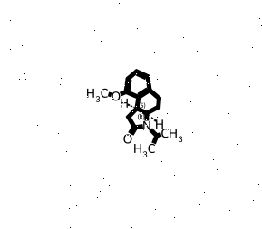 COc1cccc2c1[C@@H]1CC(=O)N(C(C)C)[C@@H]1CC2